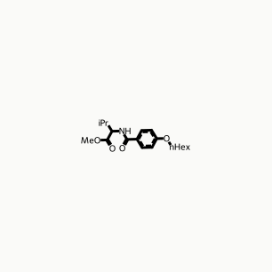 CCCCCCOc1ccc(C(=O)NC(C(=O)OC)C(C)C)cc1